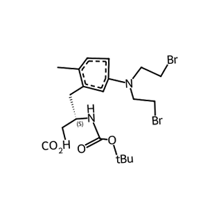 Cc1ccc(N(CCBr)CCBr)cc1C[C@@H](CC(=O)O)NC(=O)OC(C)(C)C